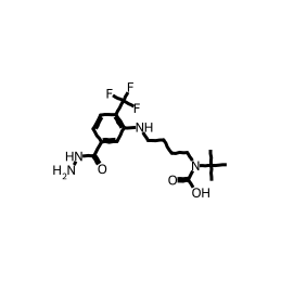 CC(C)(C)N(CCCCNc1cc(C(=O)NN)ccc1C(F)(F)F)C(=O)O